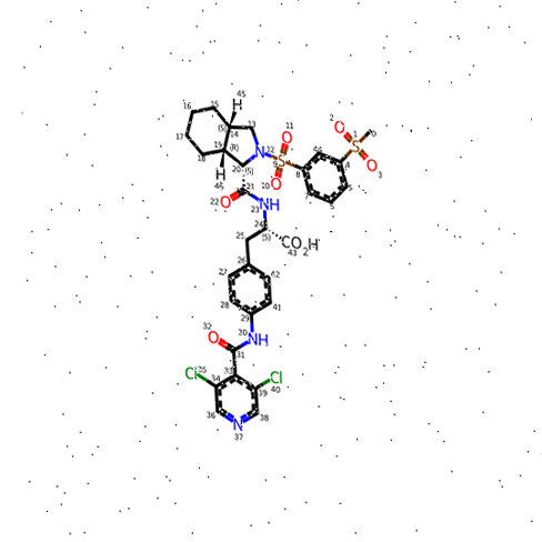 CS(=O)(=O)c1cccc(S(=O)(=O)N2C[C@H]3CCCC[C@H]3[C@H]2C(=O)N[C@@H](Cc2ccc(NC(=O)c3c(Cl)cncc3Cl)cc2)C(=O)O)c1